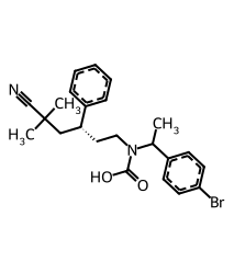 CC(c1ccc(Br)cc1)N(CC[C@H](CC(C)(C)C#N)c1ccccc1)C(=O)O